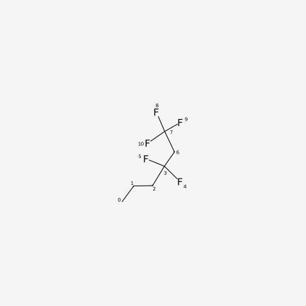 CCCC(F)(F)CC(F)(F)F